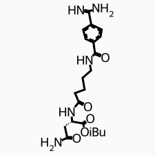 CC(C)COC(=O)[C@H](CC(N)=O)NC(=O)CCCCNC(=O)c1ccc(C(=N)N)cc1